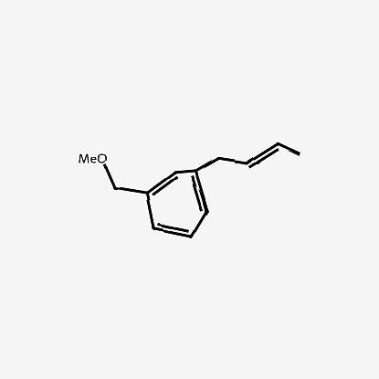 CC=CCc1cccc(COC)c1